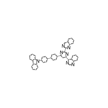 c1ccc2nc(-c3nc(-c4ccc(-c5ccc(-n6c7ccccc7c7ccccc76)cc5)cc4)cc(-c4ncnc5ccccc45)n3)ncc2c1